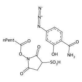 CCCCCC(=O)ON1C(=O)CC(S(=O)(=O)O)C1=O.[N-]=[N+]=Nc1ccc(C(N)=O)c(O)c1